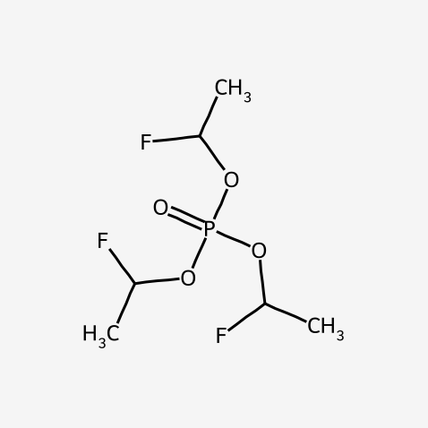 CC(F)OP(=O)(OC(C)F)OC(C)F